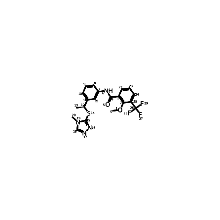 COc1c(C(=O)Nc2cccc([C@H](C)Sc3nncn3C)c2)cccc1C(F)(F)F